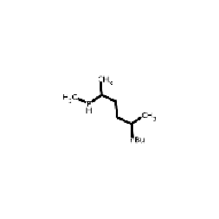 CCCCC(C)CCC(C)PC